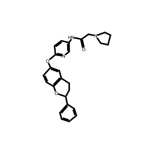 O=C(CN1CCCC1)Nc1ccc(Oc2ccc3c(c2)CCC(c2ccccc2)O3)nc1